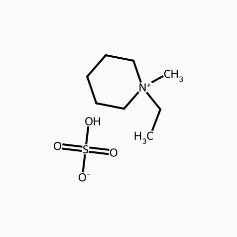 CC[N+]1(C)CCCCC1.O=S(=O)([O-])O